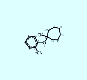 N#Cc1ccccc1OC1(Cl)CCCCCC1